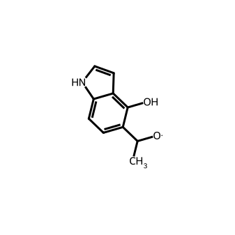 CC([O])c1ccc2[nH]ccc2c1O